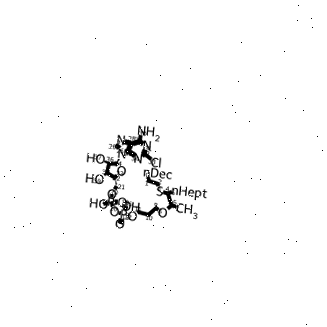 CCCCCCCCCCCCSC(CCCCCCC)C(C)OCCCOP(=O)(O)OP(=O)(O)OC[C@H]1O[C@@H](n2cnc3c(N)nc(Cl)nc32)[C@H](O)[C@@H]1O